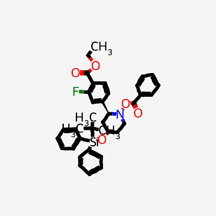 CCOC(=O)c1ccc([C@@H]2CC(O[Si](c3ccccc3)(c3ccccc3)C(C)(C)C)CCN2OC(=O)c2ccccc2)cc1F